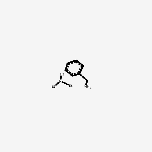 CCN(CC)CC.NCc1ccccc1